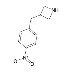 O=[N+]([O-])c1ccc(CC2CNC2)cc1